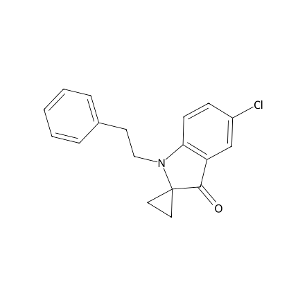 O=C1c2cc(Cl)ccc2N(CCc2ccccc2)C12CC2